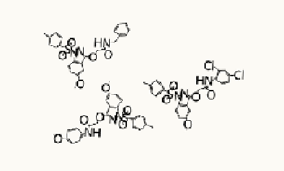 COc1ccc(NC(=O)COc2nn(S(=O)(=O)c3ccc(C)cc3)c3ccc(OC)cc23)cc1.COc1ccc2c(c1)c(OCC(=O)NCc1ccccc1)nn2S(=O)(=O)c1ccc(C)cc1.COc1ccc2c(c1)c(OCC(=O)Nc1ccc(Cl)cc1Cl)nn2S(=O)(=O)c1ccc(C)cc1